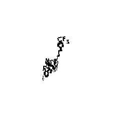 CC(SC1COC(C=CC=CC=Cc2ccc(C(F)(F)F)cc2)OC1)C(O)(Cn1cncn1)c1ccc(F)cc1F